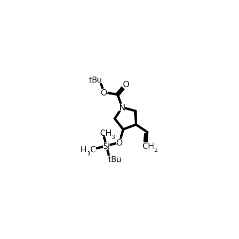 C=CC1CN(C(=O)OC(C)(C)C)CC1O[Si](C)(C)C(C)(C)C